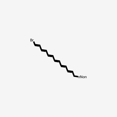 CCCCCCCCCCC=CC=CC=CC=CC=CC=CBr